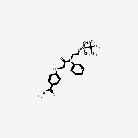 COC(=O)c1ccc(NCC(=O)N(CCO[Si](C)(C)C(C)(C)C)c2ccccc2)cc1